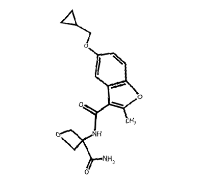 Cc1oc2ccc(OCC3CC3)cc2c1C(=O)NC1(C(N)=O)COC1